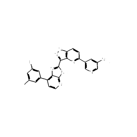 Cc1cc(F)cc(-c2ccnc3[nH]c(-c4n[nH]c5ccc(-c6cncc(N)c6)nc45)nc23)c1